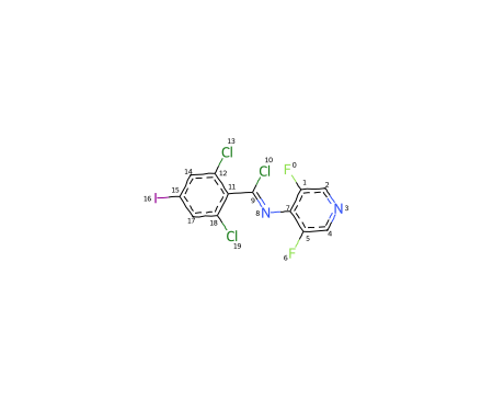 Fc1cncc(F)c1N=C(Cl)c1c(Cl)cc(I)cc1Cl